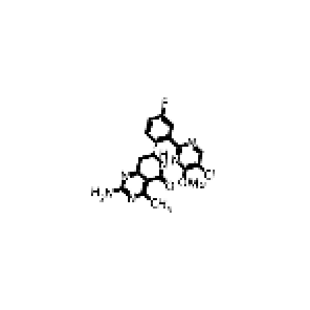 COc1nc(-c2cc(F)ccc2[C@H]2Cc3nc(N)nc(C)c3C(=O)N2)ncc1Cl